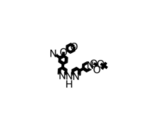 CC(C)(C)OC(=O)ON1CC=C(c2ccc(Nc3cc(-c4ccc(OC5CCOCC5)c(C#N)c4)ccn3)nc2)CC1